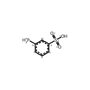 O=S(=O)(O)c1cccc(P)c1